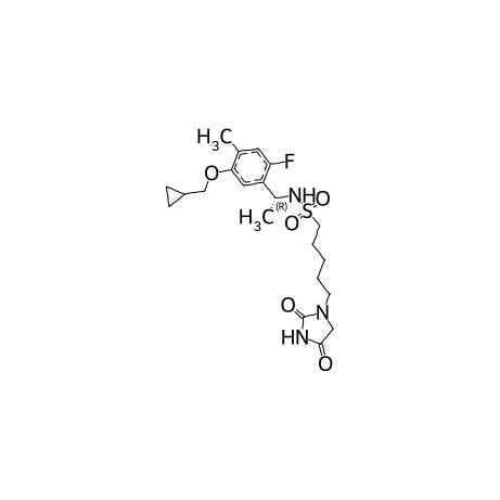 Cc1cc(F)c([C@@H](C)NS(=O)(=O)CCCCCN2CC(=O)NC2=O)cc1OCC1CC1